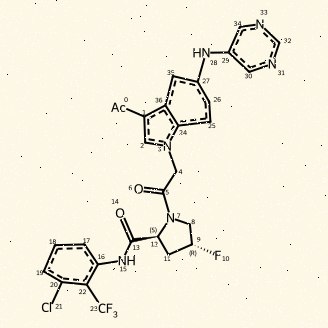 CC(=O)c1cn(CC(=O)N2C[C@H](F)C[C@H]2C(=O)Nc2cccc(Cl)c2C(F)(F)F)c2ccc(Nc3cncnc3)cc12